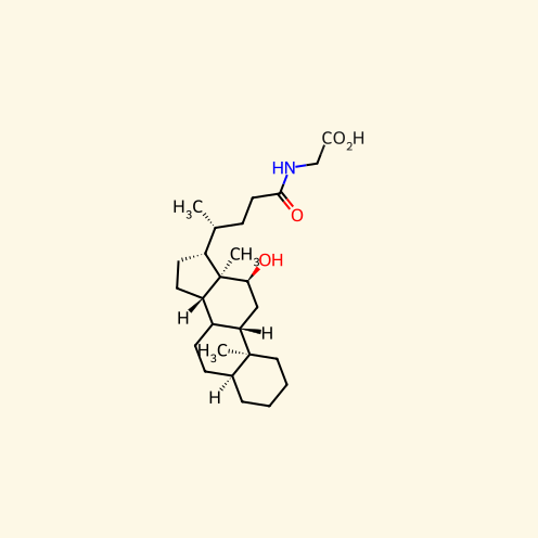 C[C@H](CCC(=O)NCC(=O)O)[C@H]1CC[C@H]2C3CC[C@@H]4CCCC[C@]4(C)[C@H]3C[C@H](O)[C@]12C